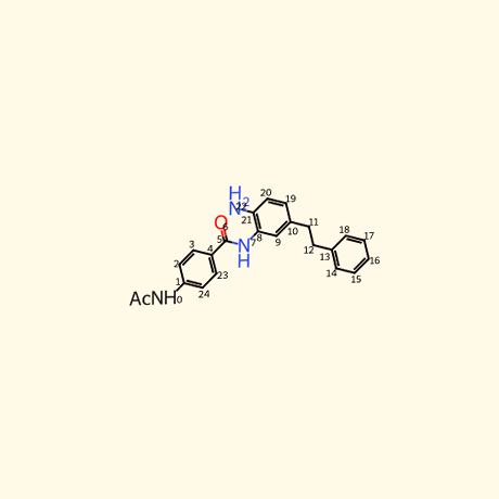 CC(=O)Nc1ccc(C(=O)Nc2cc(CCc3ccccc3)ccc2N)cc1